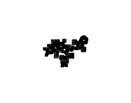 Cc1cc(Nc2nc(N[C@H](CCCN3C(=O)c4ccccc4C3=O)[C@H](C)NC(=O)OC(C)(C)C)c(F)cc2C(N)=O)cnc1C